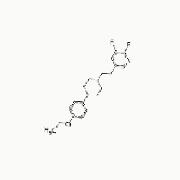 CCOc1ccc(C2CCC(CCc3cnc(F)c(F)c3)CC2)cc1